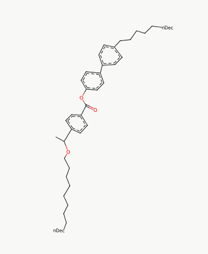 CCCCCCCCCCCCCCCCCCOC(C)c1ccc(C(=O)Oc2ccc(-c3ccc(CCCCCCCCCCCCCCC)cc3)cc2)cc1